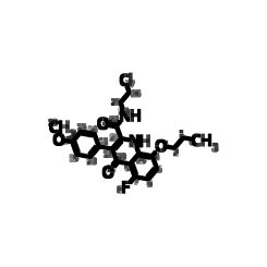 CCCOc1ccc(F)c2c(=O)c(-c3ccc(OC)cc3)c(C(=O)NCCCl)[nH]c12